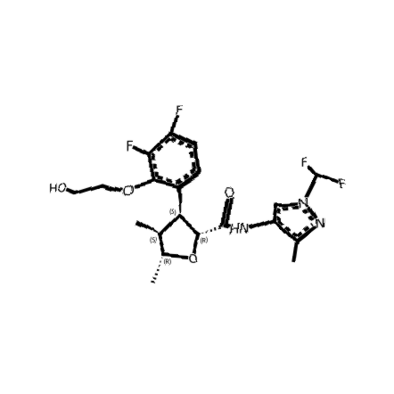 Cc1nn(C(F)F)cc1NC(=O)[C@@H]1O[C@H](C)[C@@H](C)[C@H]1c1ccc(F)c(F)c1OCCO